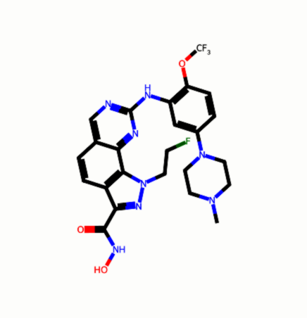 CN1CCN(c2ccc(OC(F)(F)F)c(Nc3ncc4ccc5c(C(=O)NO)nn(CCF)c5c4n3)c2)CC1